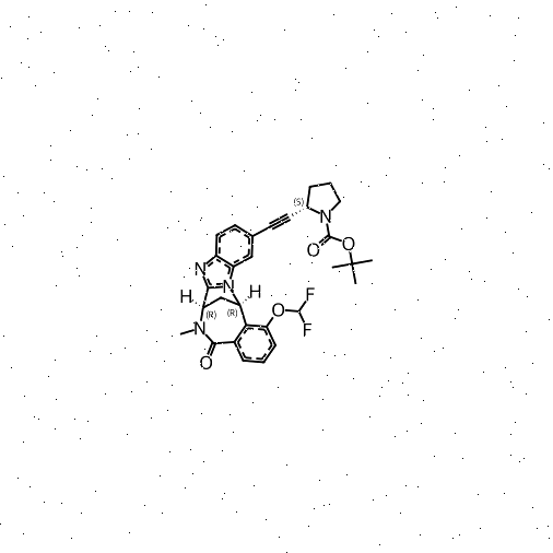 CN1C(=O)c2cccc(OC(F)F)c2[C@H]2C[C@@H]1c1nc3ccc(C#C[C@@H]4CCCN4C(=O)OC(C)(C)C)cc3n12